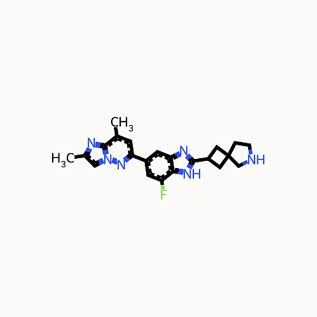 Cc1cn2nc(-c3cc(F)c4[nH]c(C5CC6(CCNC6)C5)nc4c3)cc(C)c2n1